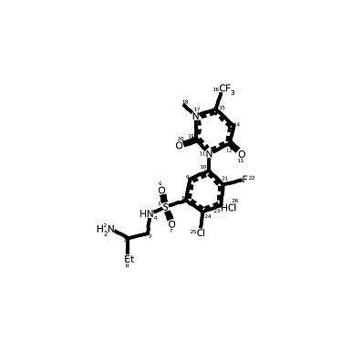 CCC(N)CNS(=O)(=O)c1cc(-n2c(=O)cc(C(F)(F)F)n(C)c2=O)c(F)cc1Cl.Cl